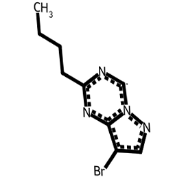 CCCCc1n[c]n2ncc(Br)c2n1